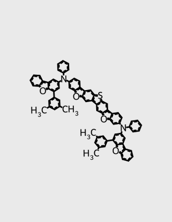 Cc1cc(C)cc(-c2cc(N(c3ccccc3)c3ccc4c(c3)oc3cc5c(cc34)sc3cc4c(cc35)oc3cc(N(c5ccccc5)c5cc(-c6cc(C)cc(C)c6)c6oc7ccccc7c6c5)ccc34)cc3c2oc2ccccc23)c1